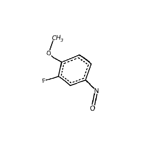 COc1ccc(N=O)cc1F